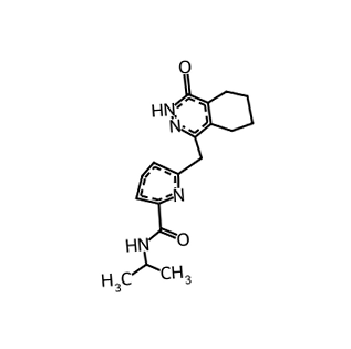 CC(C)NC(=O)c1cccc(Cc2n[nH]c(=O)c3c2CCCC3)n1